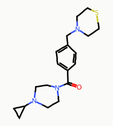 O=C(c1ccc(CN2CCSCC2)cc1)N1CCN(C2CC2)CC1